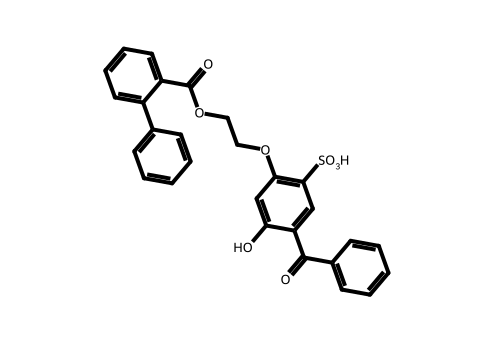 O=C(c1ccccc1)c1cc(S(=O)(=O)O)c(OCCOC(=O)c2ccccc2-c2ccccc2)cc1O